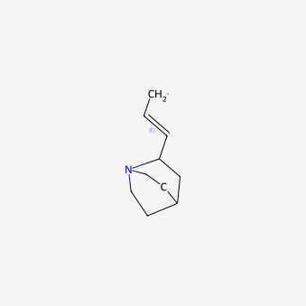 [CH2]/C=C/C1CC2CCN1CC2